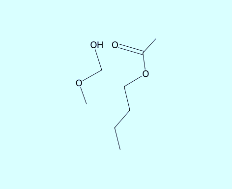 CCCCOC(C)=O.COCO